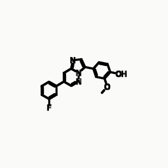 COc1cc(-c2cnc3cc(-c4cccc(F)c4)cnn23)ccc1O